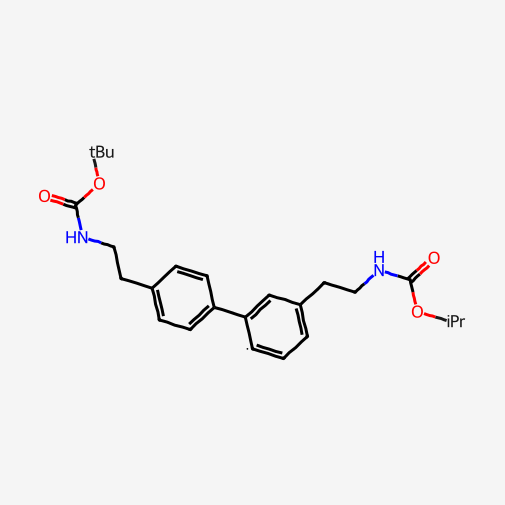 CC(C)OC(=O)NCCc1cc[c]c(-c2ccc(CCNC(=O)OC(C)(C)C)cc2)c1